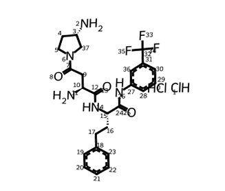 Cl.Cl.N[C@H]1CCN(C(=O)C[C@H](N)C(=O)N[C@@H](CCc2ccccc2)C(=O)Nc2cccc(C(F)(F)F)c2)C1